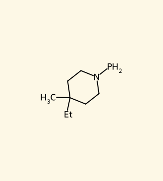 CCC1(C)CCN(P)CC1